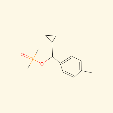 Cc1ccc(C(OP(C)(C)=O)C2CC2)cc1